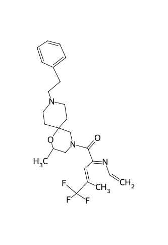 C=C/N=C(\C=C(/C)C(F)(F)F)C(=O)N1CC(C)OC2(CCN(CCc3ccccc3)CC2)C1